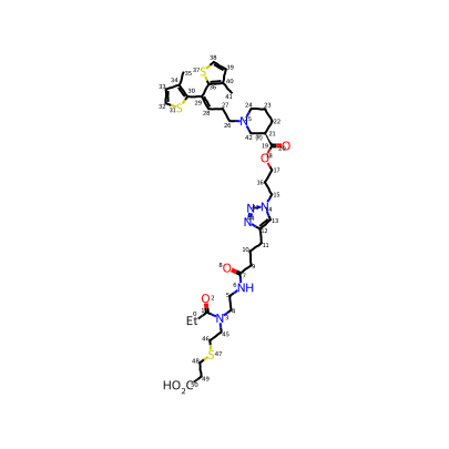 CCC(=O)N(CCNC(=O)CCCc1cn(CCCOC(=O)[C@@H]2CCCN(CCC=C(c3sccc3C)c3sccc3C)C2)nn1)CCSCCC(=O)O